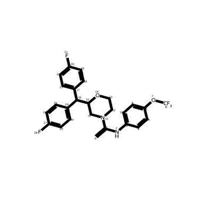 C=C(Nc1ccc(OC(F)(F)F)cc1)N1CCOC(C(c2ccc(F)cc2)c2ccc(F)cc2)C1